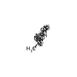 CC#CCN1CCC[C@H]1c1nc(-c2ccc(C(=O)Nc3ccccn3)cc2)c2c(N)nccn12